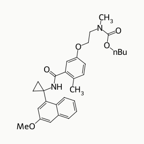 CCCCOC(=O)N(C)CCOc1ccc(C)c(C(=O)NC2(c3cc(OC)cc4ccccc34)CC2)c1